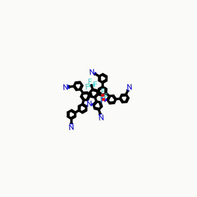 N#Cc1cccc(-c2ccc3c(c2)c2cc(-c4cccc(C#N)c4)ccc2n3-c2cc(C#N)cc(-n3c4ccc(-c5cccc(C#N)c5)cc4c4cc(-c5cccc(C#N)c5)ccc43)c2-c2ccc(C(F)(F)F)cc2C(F)(F)F)c1